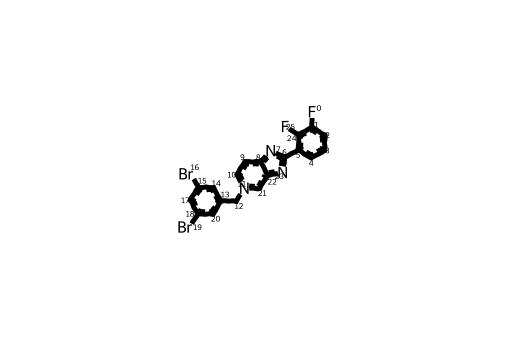 Fc1cccc(-c2nc3ccn(Cc4cc(Br)cc(Br)c4)cc-3n2)c1F